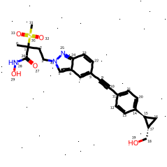 CC(CCn1cc2cc(C#Cc3ccc([C@H]4C[C@@H]4CO)cc3)ccc2n1)(C(=O)NO)S(C)(=O)=O